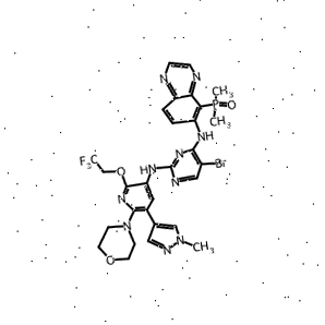 Cn1cc(-c2cc(Nc3ncc(Br)c(Nc4ccc5nccnc5c4P(C)(C)=O)n3)c(OCC(F)(F)F)nc2N2CCOCC2)cn1